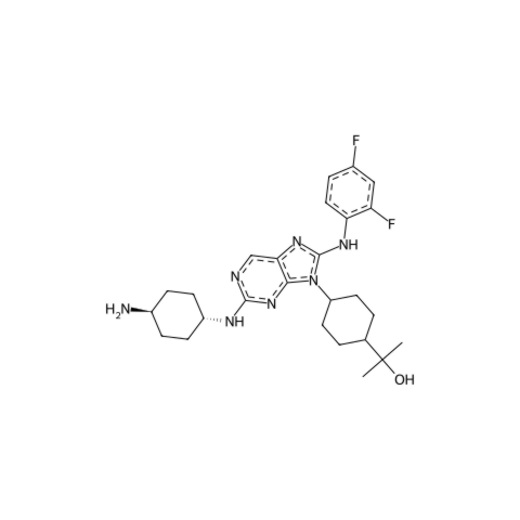 CC(C)(O)C1CCC(n2c(Nc3ccc(F)cc3F)nc3cnc(N[C@H]4CC[C@H](N)CC4)nc32)CC1